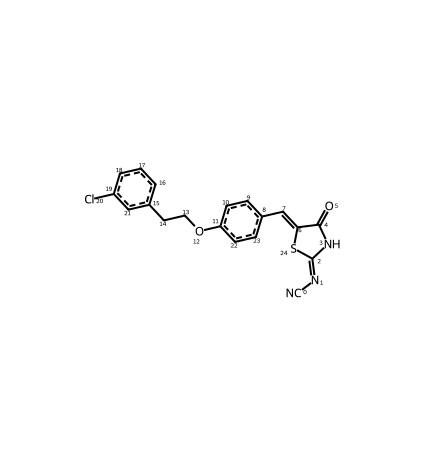 N#CN=C1NC(=O)C(=Cc2ccc(OCCc3cccc(Cl)c3)cc2)S1